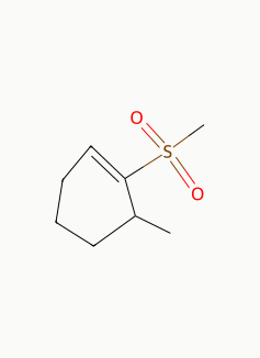 CC1CCCC=C1S(C)(=O)=O